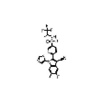 Cc1cc2c(cc1F)c(C#N)c(-c1ccc(S(=O)(=O)N[C@@H](C)C(F)(F)F)cn1)n2-c1cncs1